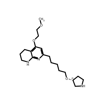 COCCOc1cc(CCCCCO[C@@H]2CCNC2)nc2c1CCCN2